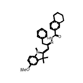 COc1ccc2c(c1)C(C)(C)/C(=C/C(Cc1ccccc1)=N/NC(=O)c1ccc3c(c1)CCCC3)N2C